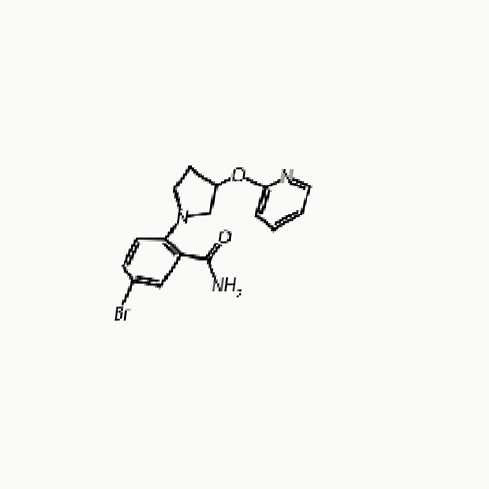 NC(=O)c1cc(Br)ccc1N1CCC(Oc2ccccn2)C1